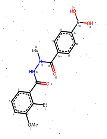 CCc1c(OC)cccc1C(=O)NN(C(=O)c1ccc(B(O)O)cc1)C(C)(C)C